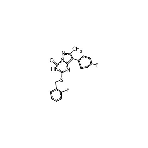 Cc1nn2c(=O)[nH]c(SCc3ccccc3F)nc2c1-c1ccc(F)cc1